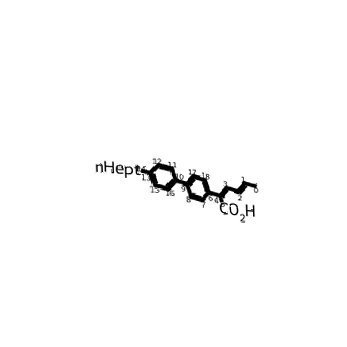 CC=CC=C(C(=O)O)c1ccc(-c2ccc(CCCCCCC)cc2)cc1